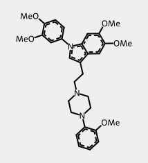 COc1ccc(-n2cc(CCN3CCN(c4ccccc4OC)CC3)c3cc(OC)c(OC)cc32)cc1OC